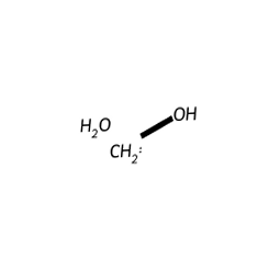 CO.O.[CH2]